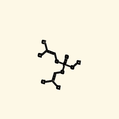 O=P(OCl)(OC=C(Cl)Cl)OC=C(Cl)Cl